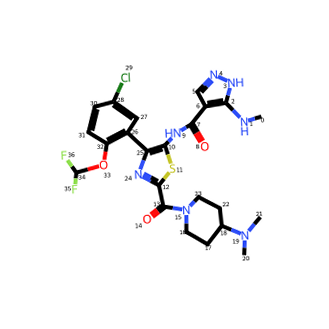 CNc1[nH]ncc1C(=O)Nc1sc(C(=O)N2CCC(N(C)C)CC2)nc1-c1cc(Cl)ccc1OC(F)F